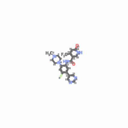 CN1CCN(c2cc(F)c(-c3cncnc3)cc2NC(=O)c2c[nH]c(=O)cc2C(F)(F)F)CC1